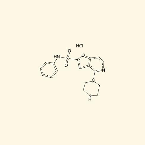 Cl.O=S(=O)(Nc1ccccc1)c1cc2c(N3CCNCC3)nccc2o1